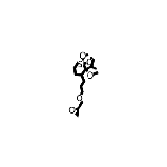 COC1(C(C)C)C(CCCOCC2CO2)CCC[Si]1(OC)OC